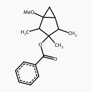 COC12CC1C(C)C(C)(OC(=O)c1ccccc1)C2C